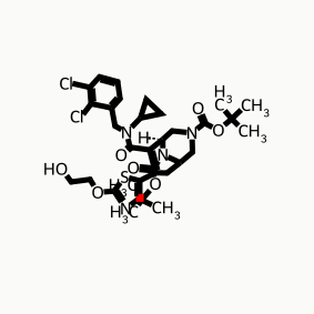 CC(C)(C)OC(=O)N1CC2CC(c3cnc(OCCO)s3)=C(C(=O)N(Cc3cccc(Cl)c3Cl)C3CC3)[C@@H](C1)N2C(=O)OC(C)(C)C